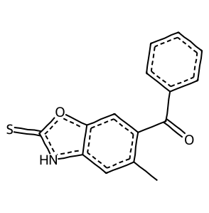 Cc1cc2[nH]c(=S)oc2cc1C(=O)c1ccccc1